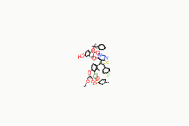 C=CCOC[C@H](COS(=O)(=O)c1ccc(C)cc1)Oc1ccc(-c2c(-c3ccc(F)cc3)sc3ncnc(O[C@H](Cc4cc(O)ccc4OCc4ccccc4)C(=O)OC(C)(C)C)c23)c(C)c1Cl